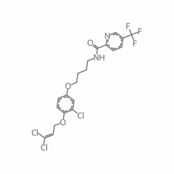 O=C(NCCCCOc1ccc(OCC=C(Cl)Cl)c(Cl)c1)c1ccc(C(F)(F)F)cn1